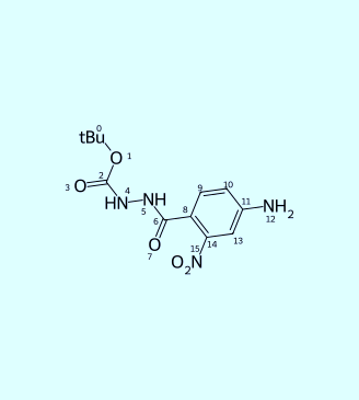 CC(C)(C)OC(=O)NNC(=O)c1ccc(N)cc1[N+](=O)[O-]